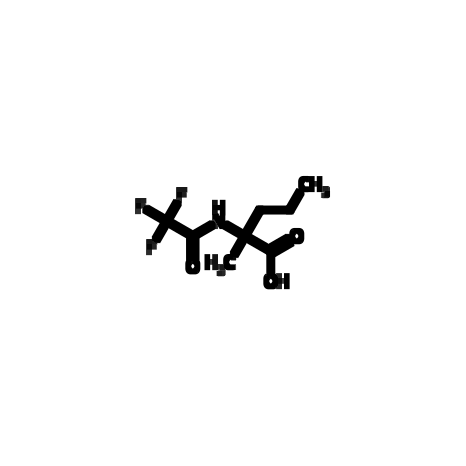 CCCC(C)(NC(=O)C(F)(F)F)C(=O)O